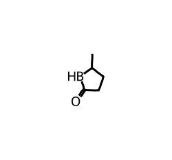 CC1BC(=O)CC1